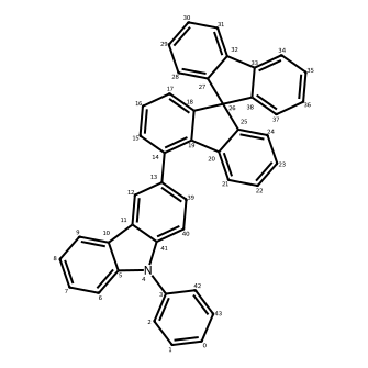 c1ccc(-n2c3ccccc3c3cc(-c4cccc5c4-c4ccccc4C54c5ccccc5-c5ccccc54)ccc32)cc1